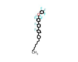 CCCCCCCCCC1CCC(c2ccc(-c3ccc(-c4cc(F)c(C(F)(F)Oc5cc(F)c(F)c(F)c5)c(F)c4)c(F)c3)c(F)c2)CC1